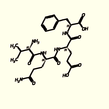 CC(C)[C@H](N)C(=O)N[C@@H](CCC(N)=O)C(=O)N[C@@H](CCC(=O)O)C(=O)N[C@@H](Cc1ccccc1)C(=O)O